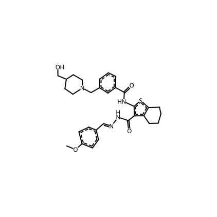 COc1ccc(C=NNC(=O)c2c(NC(=O)c3cccc(CN4CCC(CO)CC4)c3)sc3c2CCCC3)cc1